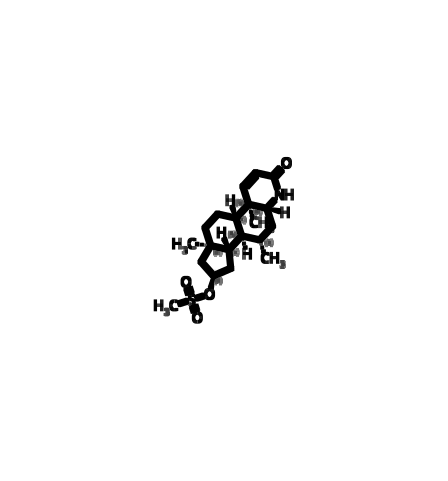 C[C@H]1C[C@H]2NC(=O)C=C[C@]2(C)[C@H]2CC[C@]3(C)C[C@H](OS(C)(=O)=O)C[C@H]3[C@H]12